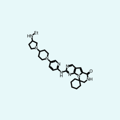 CCNC1CCN(C2CCN(c3ccc(Nc4ncc5cc6n(c5n4)C4(CCCCC4)CNC6=O)nc3)CC2)C1